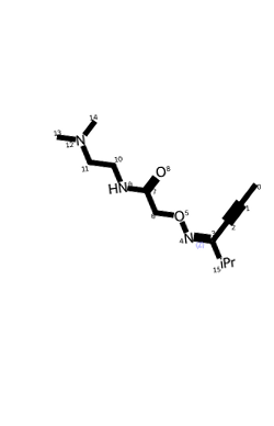 CC#C/C(=N\OCC(=O)NCCN(C)C)C(C)C